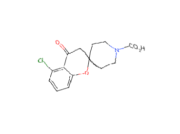 O=C1CC2(CCN(C(=O)O)CC2)Oc2cccc(Cl)c21